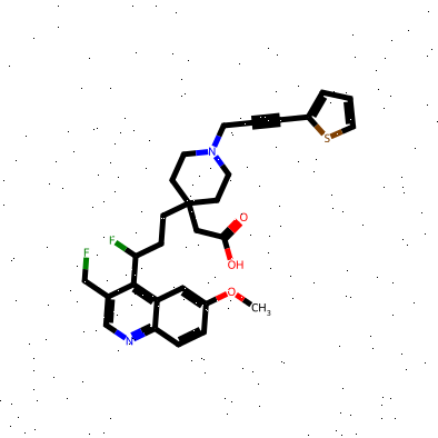 COc1ccc2ncc(CF)c(C(F)CCC3(CC(=O)O)CCN(CC#Cc4cccs4)CC3)c2c1